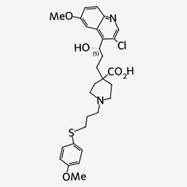 COc1ccc(SCCCN2CCC(CC[C@H](O)c3c(Cl)cnc4ccc(OC)cc34)(C(=O)O)CC2)cc1